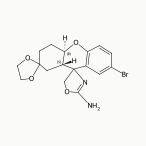 NC1=NC2(CO1)c1cc(Br)ccc1O[C@@H]1CCC3(C[C@H]12)OCCO3